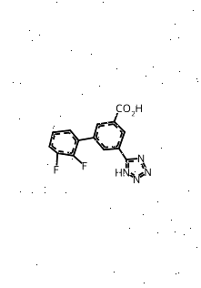 O=C(O)c1cc(-c2nnn[nH]2)cc(-c2cccc(F)c2F)c1